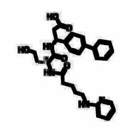 O=C(O)CC(NC(=O)[C@@H](CCO)NC(=O)CCCCNc1ccccn1)c1ccc(-c2ccccc2)cc1